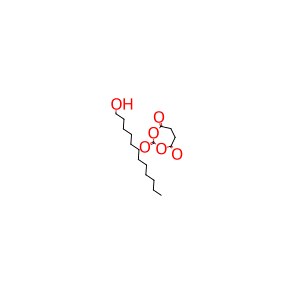 CCCCCCCCCCCCO.O=C1CCC(=O)OC(=O)O1